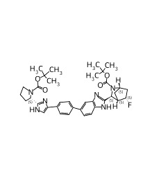 CC(C)(C)OC(=O)N1CCC[C@H]1c1nc(-c2ccc(-c3ccc4[nH]c([C@@H]5[C@@H]6C[C@@H](C[C@@H]6F)N5C(=O)OC(C)(C)C)nc4c3)cc2)c[nH]1